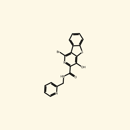 O=C(NCc1ccccn1)c1nc(Br)c2c(sc3ccccc32)c1O